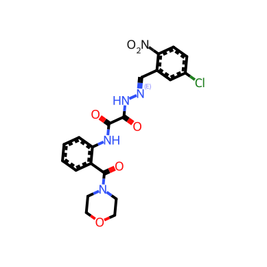 O=C(N/N=C/c1cc(Cl)ccc1[N+](=O)[O-])C(=O)Nc1ccccc1C(=O)N1CCOCC1